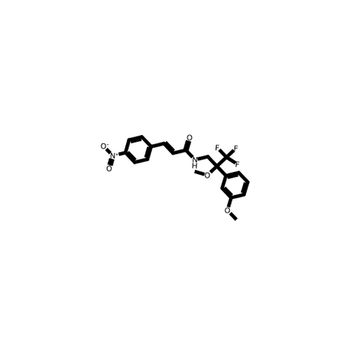 COc1cccc(C(CNC(=O)C=Cc2ccc([N+](=O)[O-])cc2)(OC)C(F)(F)F)c1